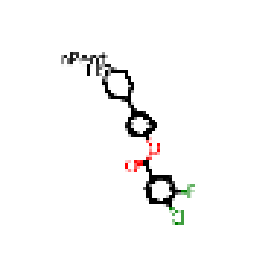 CCCCC[SiH]1CCC(c2ccc(OC(=O)c3ccc(Cl)c(F)c3)cc2)CC1